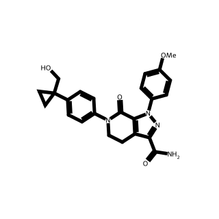 COc1ccc(-n2nc(C(N)=O)c3c2C(=O)N(c2ccc(C4(CO)CC4)cc2)CC3)cc1